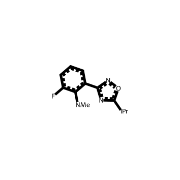 CNc1c(F)cccc1-c1noc(C(C)C)n1